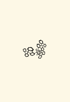 c1ccc2c(c1)-c1ccccc1C21c2ccccc2-c2c(-c3sc(-c4cccc5c4-c4ccccc4C54c5ccccc5-c5ccccc54)c4nc5c6ccccc6c6ccccc6c5nc34)cccc21